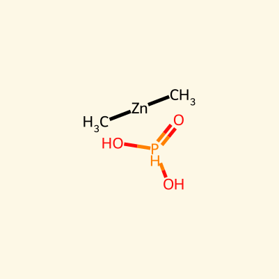 O=[PH](O)O.[CH3][Zn][CH3]